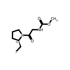 COC(=O)NCC(=O)N1CCC[C@@H]1CI